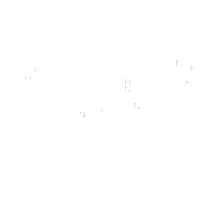 CCOP(Cc1cccc(COc2ccccc2OC2CCN(Cc3ccc4nc(-c5ccc(C(F)(F)F)cc5)[nH]c4c3)CC2)c1)OCC